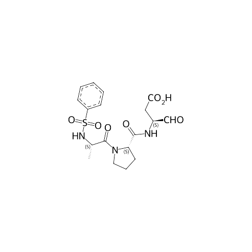 C[C@H](NS(=O)(=O)c1ccccc1)C(=O)N1CCC[C@H]1C(=O)N[C@H](C=O)CC(=O)O